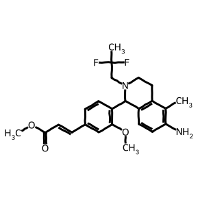 COC(=O)/C=C/c1ccc(C2c3ccc(N)c(C)c3CCN2CC(C)(F)F)c(OC)c1